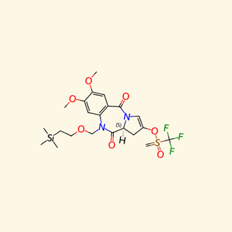 C=S(=O)(OC1=CN2C(=O)c3cc(OC)c(OC)cc3N(COCC[Si](C)(C)C)C(=O)[C@@H]2C1)C(F)(F)F